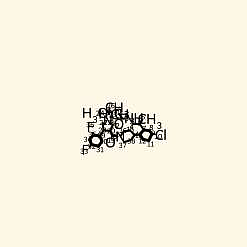 CC(=O)NCC(C)c1cc(Cl)ccc1C1CCN(C(=O)C2CN(C(C)(C)C)CC2c2ccc(F)cc2F)CC1